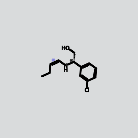 CC/C=C\N[C@H](CO)c1cccc(Cl)c1